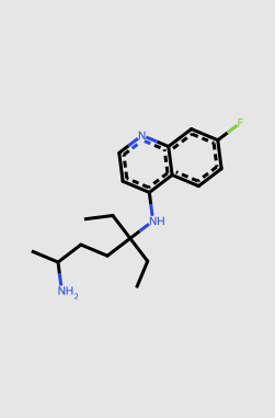 CCC(CC)(CCC(C)N)Nc1ccnc2cc(F)ccc12